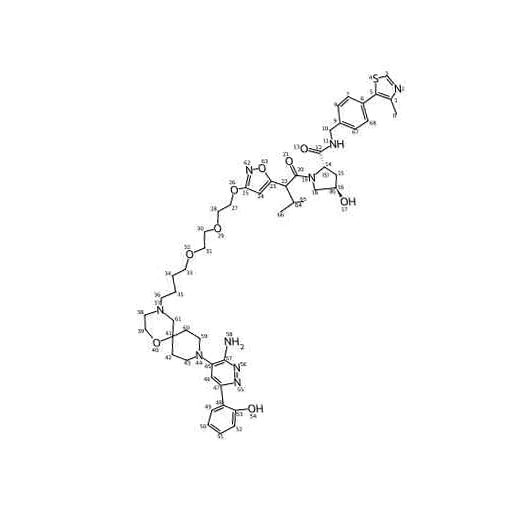 Cc1ncsc1-c1ccc(CNC(=O)[C@@H]2C[C@@H](O)CN2C(=O)C(c2cc(OCCOCCOCCCCN3CCOC4(CCN(c5cc(-c6ccccc6O)nnc5N)CC4)C3)no2)C(C)C)cc1